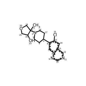 CC1(N2CCC(c3cc4ncncc4cc3Cl)CC2)COCC1O